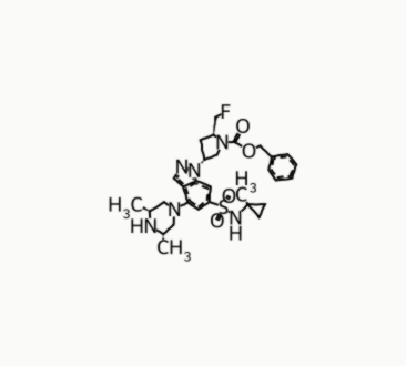 C[C@H]1CN(c2cc(S(=O)(=O)NC3(C)CC3)cc3c2cnn3[C@@H]2C[C@@H](CF)N(C(=O)OCc3ccccc3)C2)C[C@H](C)N1